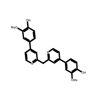 COc1cc(-c2ccnc(Cc3cc(-c4ccc(O)c(OC)c4)ccn3)c2)ccc1O